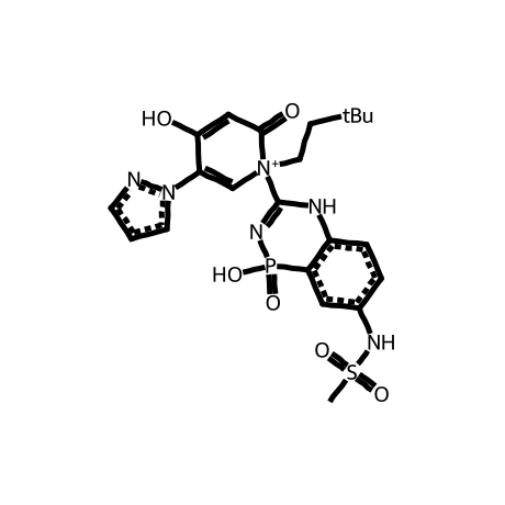 CC(C)(C)CC[N+]1(C2=NP(=O)(O)c3cc(NS(C)(=O)=O)ccc3N2)C=C(n2cccn2)C(O)=CC1=O